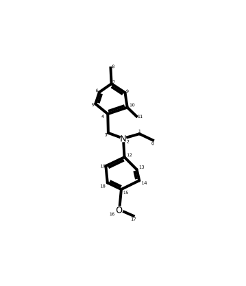 CCN(Cc1ccc(C)cc1C)c1ccc(OC)cc1